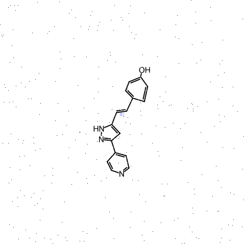 Oc1ccc(/C=C/c2cc(-c3ccncc3)n[nH]2)cc1